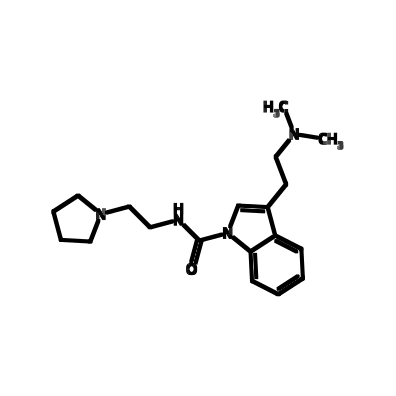 CN(C)CCc1cn(C(=O)NCCN2CCCC2)c2ccccc12